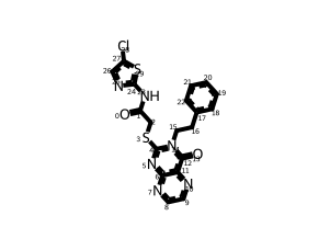 O=C(CSc1nc2nccnc2c(=O)n1CCc1ccccc1)Nc1ncc(Cl)s1